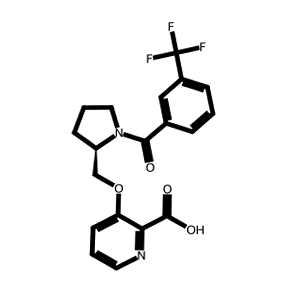 O=C(O)c1ncccc1OC[C@H]1CCCN1C(=O)c1cccc(C(F)(F)F)c1